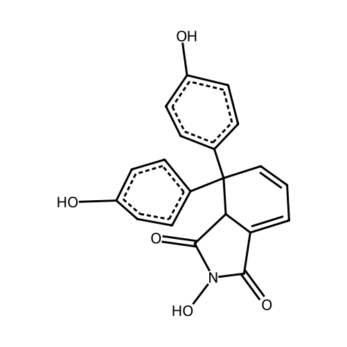 O=C1C2=CC=CC(c3ccc(O)cc3)(c3ccc(O)cc3)C2C(=O)N1O